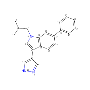 CC(C)Cn1cc(-c2cn[nH]c2)c2ccc(-c3ccccc3)cc21